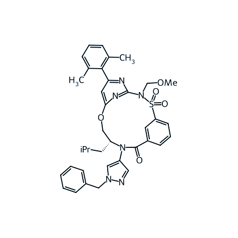 COCN1c2nc(cc(-c3c(C)cccc3C)n2)OC[C@@H](CC(C)C)N(c2cnn(Cc3ccccc3)c2)C(=O)c2cccc(c2)S1(=O)=O